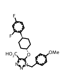 COc1ccc(Cn2nnc(C(=O)O)c2O[C@H]2CC[C@H](c3ccc(F)cc3F)CC2)cc1